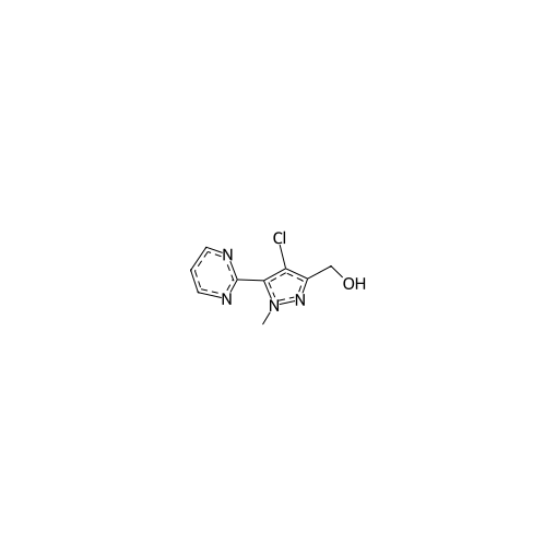 Cn1nc(CO)c(Cl)c1-c1ncccn1